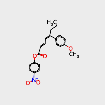 CCCC(=CC=CC(=O)Oc1ccc([N+](=O)[O-])cc1)c1ccc(OC)cc1